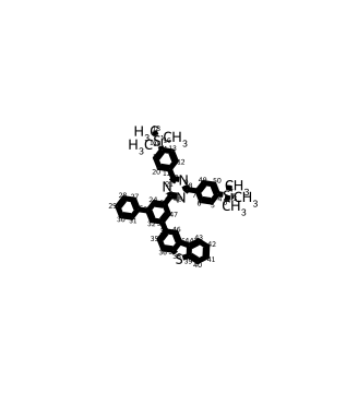 C[Si](C)(C)c1ccc(-c2nc(-c3ccc([Si](C)(C)C)cc3)nc(-c3cc(-c4ccccc4)cc(-c4ccc5sc6ccccc6c5c4)c3)n2)cc1